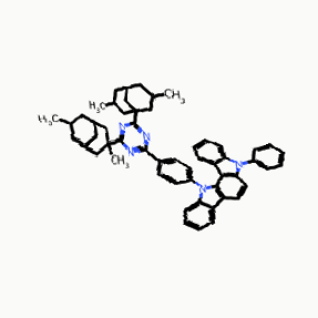 CC1CC2CC(C1)CC(C)(c1nc(-c3ccc(-n4c5ccccc5c5ccc6c(c7ccccc7n6-c6ccccc6)c54)cc3)nc(C34CC(C)CC(CC(C)C3)C4)n1)C2